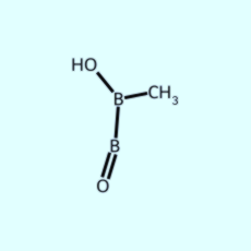 CB(O)B=O